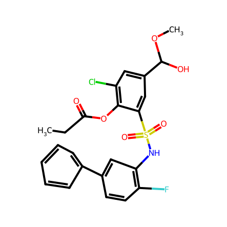 CCC(=O)Oc1c(Cl)cc(C(O)OC)cc1S(=O)(=O)Nc1cc(-c2ccccc2)ccc1F